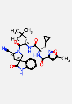 Cc1cc(C(=O)N[C@@H](CC2CC2)C(=O)N[C@@H](CC(C)(C)C)C(=O)N2C[C@]3(C[C@H]2C#N)C(=O)Nc2ccccc23)no1